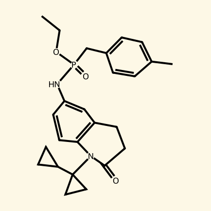 CCOP(=O)(Cc1ccc(C)cc1)Nc1ccc2c(c1)CCC(=O)N2C1(C2CC2)CC1